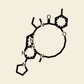 CCC1c2cc3nc(N4CCCC4)cc(n3n2)N(C)CCCCCOc2ccc(C)cc2C(=O)N1C